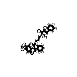 O=C(NCCCN1C(=O)C2(COc3cc4c(cc32)OCO4)c2ccccc21)c1cc2ccccc2o1